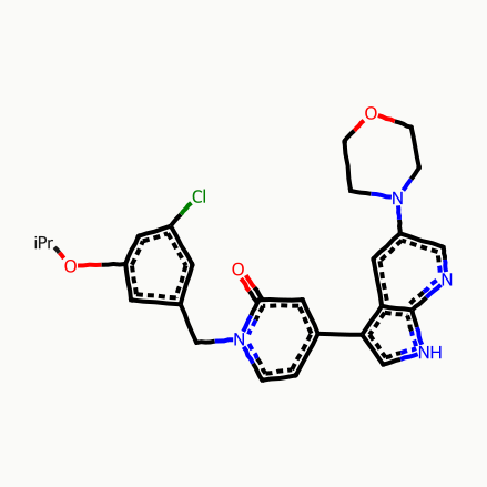 CC(C)Oc1cc(Cl)cc(Cn2ccc(-c3c[nH]c4ncc(N5CCOCC5)cc34)cc2=O)c1